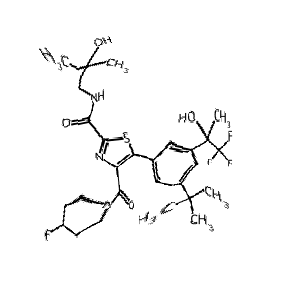 CC(C)(O)CNC(=O)c1nc(C(=O)N2CCC(F)CC2)c(-c2cc(C(C)(C)C)cc(C(C)(O)C(F)(F)F)c2)s1